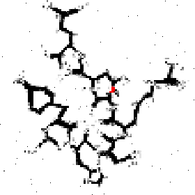 CC(=O)NC(Cc1ccc(O)cc1)C(=O)NC(Cc1ncc[nH]1)C(=O)NC(CO)C(=O)NC(CCCNC(=N)N)C(=O)NC(C)C(=O)NC(CC(C)C)C(=O)NC(CCC(N)=O)C(N)=O